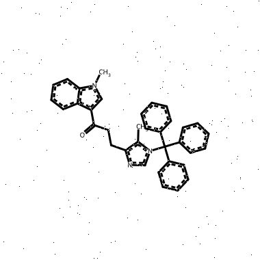 Cc1c(CCC(=O)c2cn(C)c3ccccc23)ncn1C(c1ccccc1)(c1ccccc1)c1ccccc1